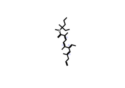 C=CC/C(C)=C/C(=C\C)C(/C)=C\C=C(\C)C(=C)N(C)C(C)(CC)CCC